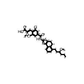 CCCC(CCc1cccc2c1CCc1sc(NC(=O)c3cc(Cl)c(C=C(OC)C(=O)O)c(Cl)c3)nc1-2)OC